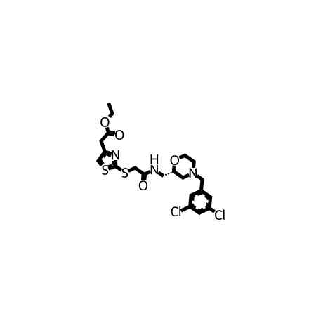 CCOC(=O)Cc1csc(SCC(=O)NC[C@H]2CN(Cc3cc(Cl)cc(Cl)c3)CCO2)n1